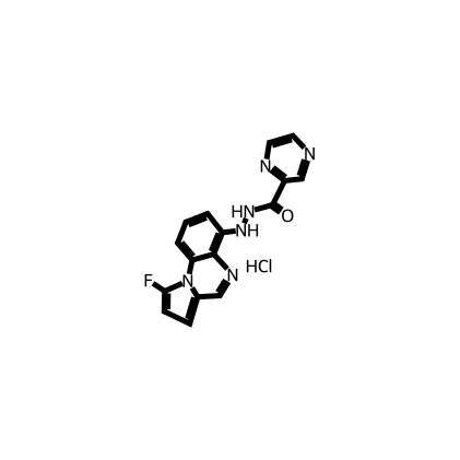 Cl.O=C(NNc1cccc2c1ncc1ccc(F)n12)c1cnccn1